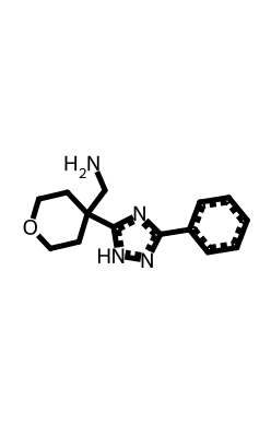 NCC1(c2nc(-c3ccccc3)n[nH]2)CCOCC1